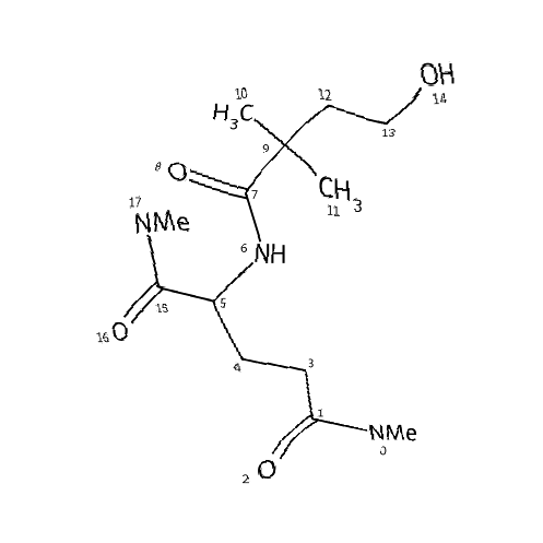 CNC(=O)CCC(NC(=O)C(C)(C)CCO)C(=O)NC